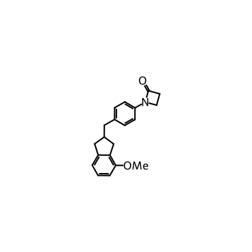 COc1cccc2c1CC(Cc1ccc(N3CCC3=O)cc1)C2